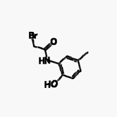 Cc1ccc(O)c(NC(=O)CBr)c1